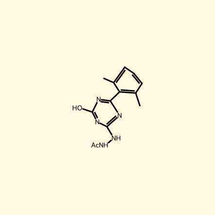 CC(=O)NNc1nc(O)nc(-c2c(C)cccc2C)n1